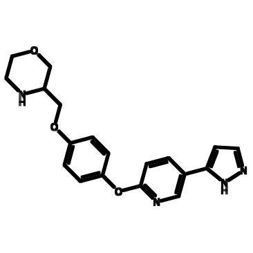 c1cc(-c2ccc(Oc3ccc(OCC4COCCN4)cc3)nc2)[nH]n1